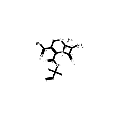 C=CC(C)(C)OC(=O)C1=C(C(=O)C(C)C)CS[C@H]2C(N)C(=O)N12